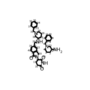 NC1CCCN(Cc2ccccc2)C1.O=C1CCC(N2Cc3cc(CNC4CCCN(Cc5ccccc5)C4)ccc3C2=O)C(=O)N1